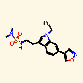 CC(C)Cn1cc(CCNS(=O)(=O)N(C)C)c2ccc(-c3cnoc3)cc21